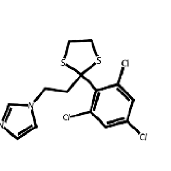 Clc1cc(Cl)c(C2(CCn3ccnc3)SCCS2)c(Cl)c1